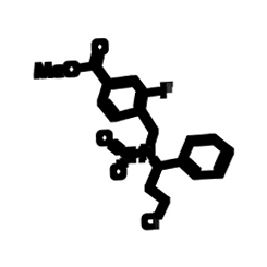 COC(=O)c1ccc(CN(C(CCCl)c2ccccc2)[SH](=O)=O)c(F)c1